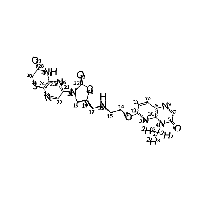 [2H]C([2H])([2H])n1c(=O)cnc2ccc(OCCNC[C@H]3CN(c4cnc5c(n4)NC(=O)CS5)C(=O)O3)nc21